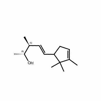 CC1=CCC(C=C[C@H](C)[C@@H](C)O)C1(C)C